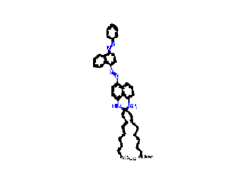 CCCCCCCCCCCCCCCCCC1(CCCCCCCCCCCCCCCCC)Nc2cccc3c(/N=N/c4ccc(/N=N/c5ccccc5)c5ccccc45)ccc(c23)N1